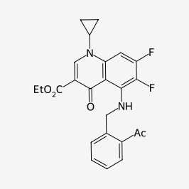 CCOC(=O)c1cn(C2CC2)c2cc(F)c(F)c(NCc3ccccc3C(C)=O)c2c1=O